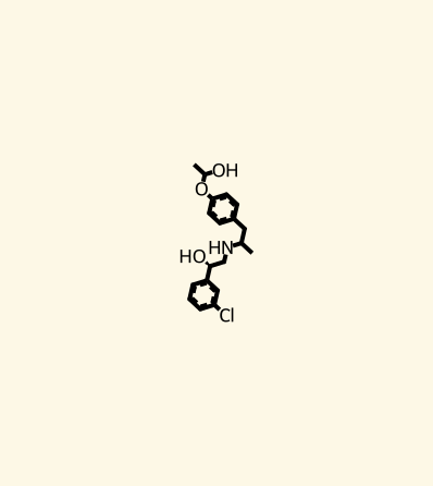 CC(Cc1ccc(OC(C)O)cc1)NC[C@H](O)c1cccc(Cl)c1